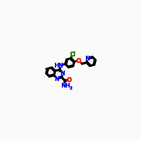 NC(=O)c1nc(Nc2ccc(OCc3ccccn3)c(Cl)c2)c2c[c]ccc2n1